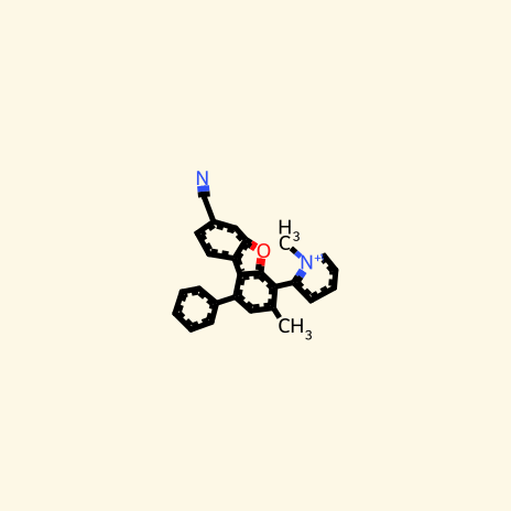 Cc1cc(-c2ccccc2)c2c(oc3cc(C#N)ccc32)c1-c1cccc[n+]1C